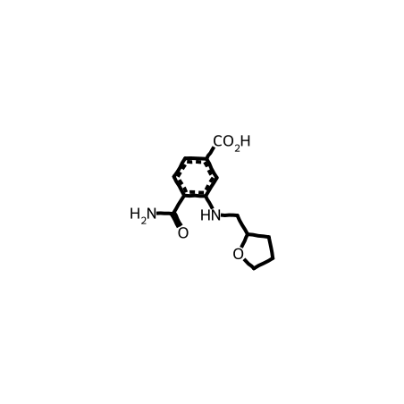 NC(=O)c1ccc(C(=O)O)cc1NCC1CCCO1